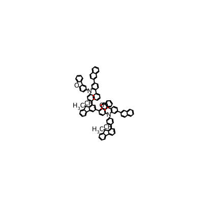 CC1(C)c2ccccc2-c2cccc(-c3ccc(N(c4cc(-c5ccc6ccccc6c5)ccc4-c4ccccc4)c4ccc(-c5cc(-c6ccc(N(c7ccc8oc9ccccc9c8c7)c7cc(-c8ccc9ccccc9c8)ccc7-c7ccccc7)cc6)c6c(c5)-c5ccccc5C6(C)C)c5oc6ccccc6c45)cc3)c21